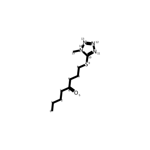 CCCCC(=O)CCCSc1nnnn1C